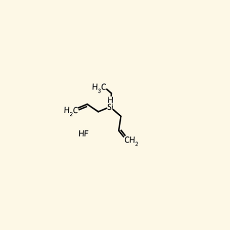 C=CC[SiH](CC)CC=C.F